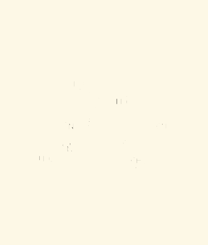 C=Cc1nn(C)cc1C(C)C(C)C